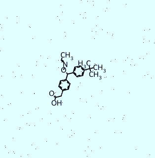 CC=NOC(c1ccc(CC(=O)O)cc1)c1ccc(C(C)(C)C)cc1